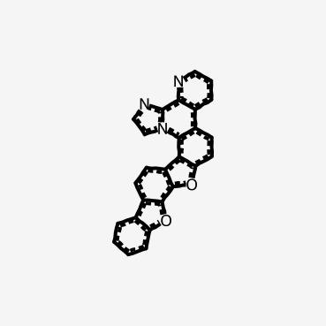 c1ccc2c(c1)oc1c2ccc2c1oc1ccc3c4cccnc4c4nccn4c3c12